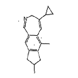 Cc1c2c(cc3c1CC(C)C3)C=NCC(C1CC1)=C2